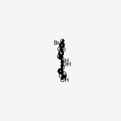 COc1ccc(S(=O)(=O)N2CCC3(CC2)C[C@@H](NC[C@H](O)COc2cccc(S(=O)(=O)C4(CO)CC4)c2)CO3)cc1Br